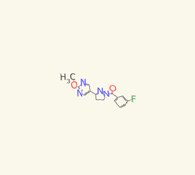 COc1ncc(C2=NN(C(=O)c3cccc(F)c3)CC2)cn1